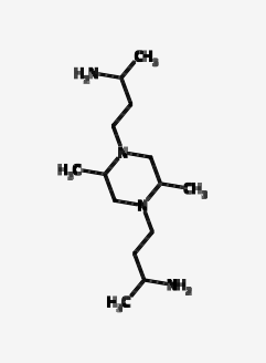 CC(N)CCN1CC(C)N(CCC(C)N)CC1C